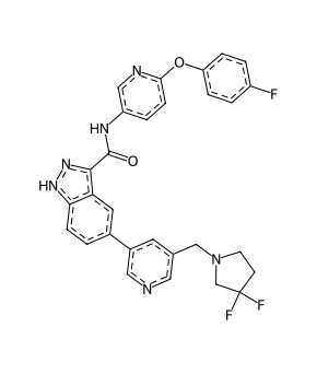 O=C(Nc1ccc(Oc2ccc(F)cc2)nc1)c1n[nH]c2ccc(-c3cncc(CN4CCC(F)(F)C4)c3)cc12